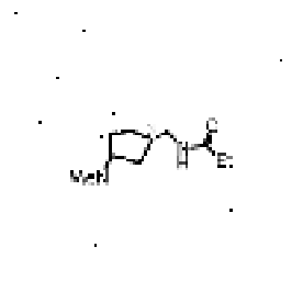 CCC(=O)NC[C@@H]1CCC(NC)C1